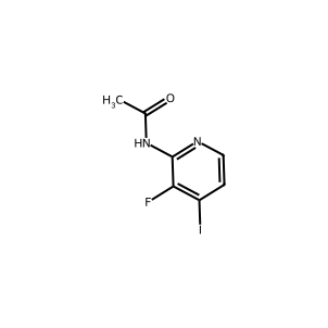 CC(=O)Nc1nccc(I)c1F